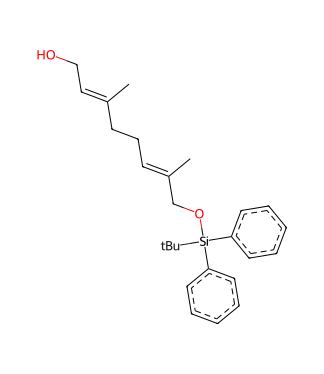 C/C(=C\CO)CC/C=C(\C)CO[Si](c1ccccc1)(c1ccccc1)C(C)(C)C